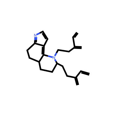 C=CC(=C)CCC1CCC2CCC3=NC=CC3=C2N1CCC(=C)C=C